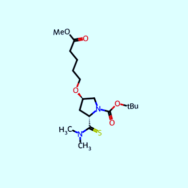 COC(=O)CCCCO[C@@H]1C[C@@H](C(=S)N(C)C)N(C(=O)OC(C)(C)C)C1